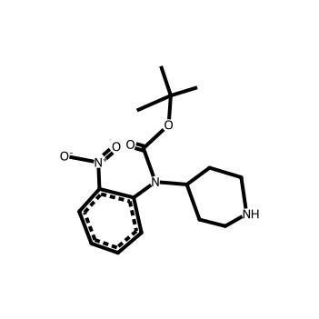 CC(C)(C)OC(=O)N(c1ccccc1[N+](=O)[O-])C1CCNCC1